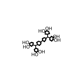 Oc1ccc(C(c2ccc(-c3ccc(C(c4ccc(O)c(O)c4)c4ccc(O)c(O)c4)cc3)cc2)c2ccc(O)c(O)c2)cc1O